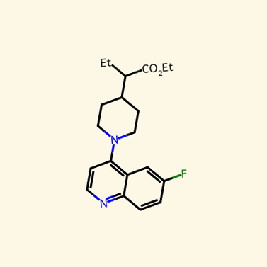 CCOC(=O)C(CC)C1CCN(c2ccnc3ccc(F)cc23)CC1